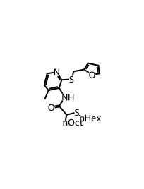 CCCCCCCCC(SCCCCCC)C(=O)Nc1c(C)ccnc1SCc1ccco1